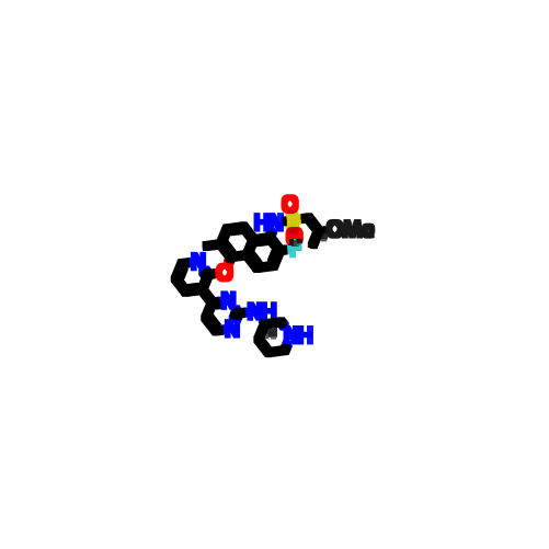 CO[C@@H](C)CS(=O)(=O)Nc1c(F)ccc2c(Oc3ncccc3-c3ccnc(N[C@H]4CCCNC4)n3)c(C)ccc12